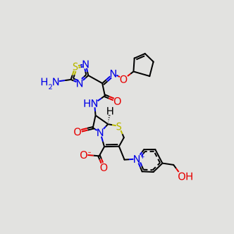 Nc1nc(/C(=N/OC2C=CCC2)C(=O)NC2C(=O)N3C(C(=O)[O-])=C(C[n+]4ccc(CO)cc4)CS[C@H]23)ns1